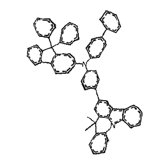 CC1(C)c2ccccc2-n2c3ccccc3c3cc(-c4ccc(N(c5ccc(-c6ccccc6)cc5)c5ccc6c(c5)C(c5ccccc5)(c5ccccc5)c5ccccc5-6)cc4)cc1c32